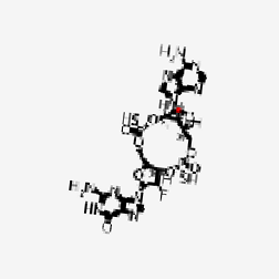 Nc1nc2c(ncn2[C@@H]2OC3CO[P@@](=O)(S)O[C@@H]4[C@H](F)[C@@H](CO[P@@](=O)(S)O[C@H]3[C@H]2F)O[C@H]4n2cnc3c(N)ncnc32)c(=O)[nH]1